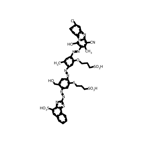 Cc1cc(N=Nc2c(C)c(C#N)c3nc4cc(Cl)ccc4n3c2O)c(OCCCS(=O)(=O)O)cc1N=Nc1cc(CO)c(N=Nc2nc3c(S(=O)(=O)O)cc4ccccc4c3s2)cc1SCCCS(=O)(=O)O